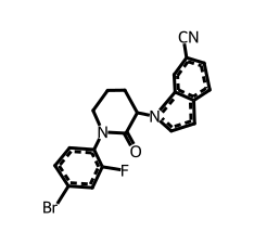 N#Cc1ccc2ccn(C3CCCN(c4ccc(Br)cc4F)C3=O)c2c1